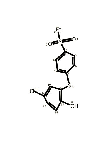 CCS(=O)(=O)c1ccc(Sc2cc(Cl)ccc2O)cc1